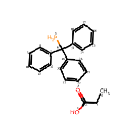 CCC(=O)O.PC(c1ccccc1)(c1ccccc1)c1ccccc1